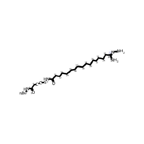 CCCCNC(=O)CCCSNC(=O)CCCCCCCCCCCCCCC/C(N)=N/N